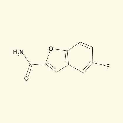 NC(=O)c1cc2cc(F)ccc2o1